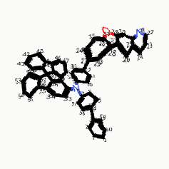 c1ccc(-c2ccc(N(c3ccc(-c4ccc5oc6cc7ncccc7cc6c5c4)cc3)c3ccc4c(c3)C3(c5ccccc5-c5ccccc53)c3ccccc3-4)cc2)cc1